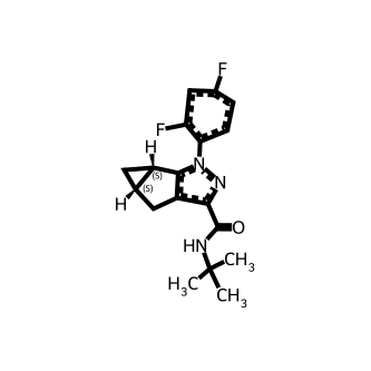 CC(C)(C)NC(=O)c1nn(-c2ccc(F)cc2F)c2c1C[C@@H]1C[C@H]21